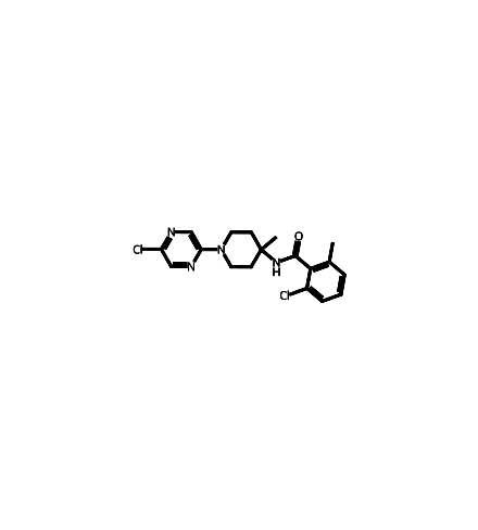 Cc1cccc(Cl)c1C(=O)NC1(C)CCN(c2cnc(Cl)cn2)CC1